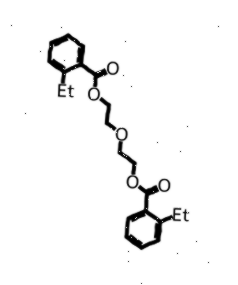 CCc1ccccc1C(=O)OCCOCCOC(=O)c1ccccc1CC